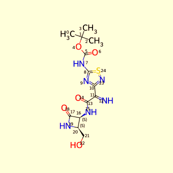 CC(C)(C)OC(=O)Nc1nc(C(=N)C(=O)N[C@@H]2C(=O)N[C@@H]2CO)ns1